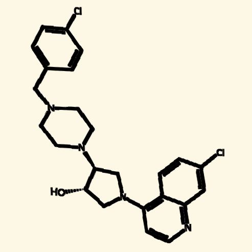 O[C@H]1CN(c2ccnc3cc(Cl)ccc23)C[C@@H]1N1CCN(Cc2ccc(Cl)cc2)CC1